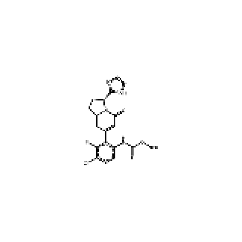 CC(C)(C)OC(=O)Nc1ccc(Cl)c(F)c1C1=CC(=O)N2C(CC[C@H]2c2ncc[nH]2)C1